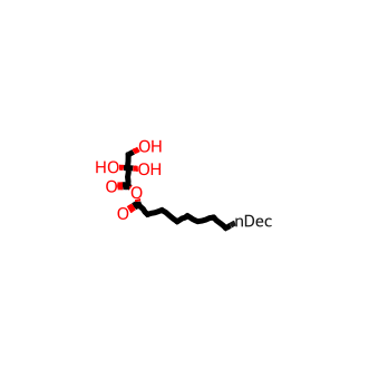 CCCCCCCCCCCCCCCCCC(=O)OC(=O)C(O)(O)CO